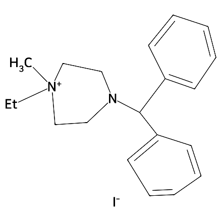 CC[N+]1(C)CCN(C(c2ccccc2)c2ccccc2)CC1.[I-]